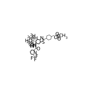 [2H]C([2H])([2H])C(O)(c1cc2nc(C3CCC(COS(C)(=O)=O)CC3)sc2cc1NC(=O)c1cccc(C(F)(F)F)n1)C([2H])([2H])[2H]